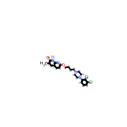 Cc1cc2ccc(OCCCCN3CCN(c4cccc(Cl)c4Cl)CC3)nc2[nH]c1=O